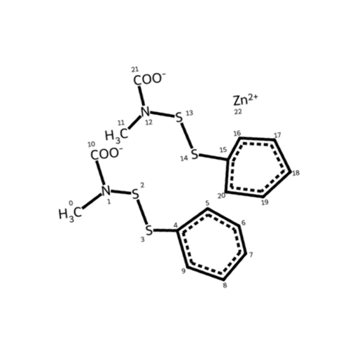 CN(SSc1ccccc1)C(=O)[O-].CN(SSc1ccccc1)C(=O)[O-].[Zn+2]